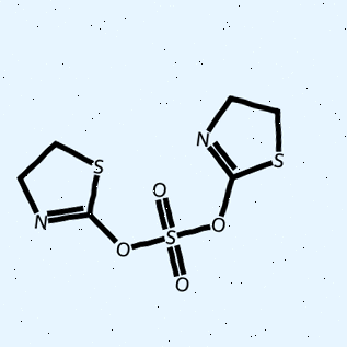 O=S(=O)(OC1=NCCS1)OC1=NCCS1